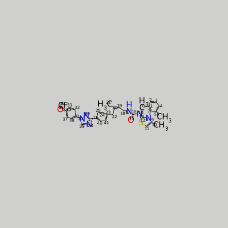 Cc1cccc(C)c1-n1c(C)cs/c1=N\C(=O)NCCC(C)Cc1ccc(-c2ncn(-c3ccc(OC(F)(F)F)cc3)n2)cc1